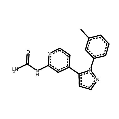 Cc1cccc(-n2nccc2-c2ccnc(NC(N)=O)c2)c1